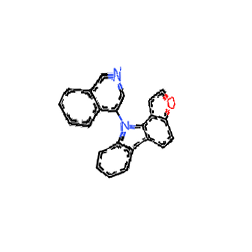 c1ccc2c(-n3c4ccccc4c4ccc5occc5c43)cncc2c1